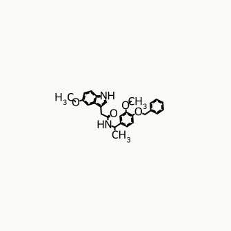 COc1ccc2[nH]cc(CC(=O)NC(C)c3ccc(OCc4ccccc4)c(OC)c3)c2c1